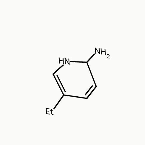 CCC1=CNC(N)C=C1